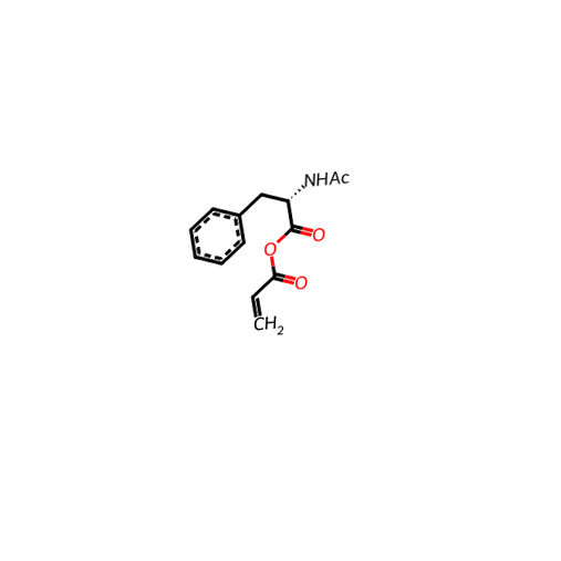 C=CC(=O)OC(=O)[C@H](Cc1ccccc1)NC(C)=O